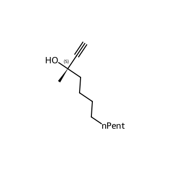 C#C[C@@](C)(O)CCCCCCCCC